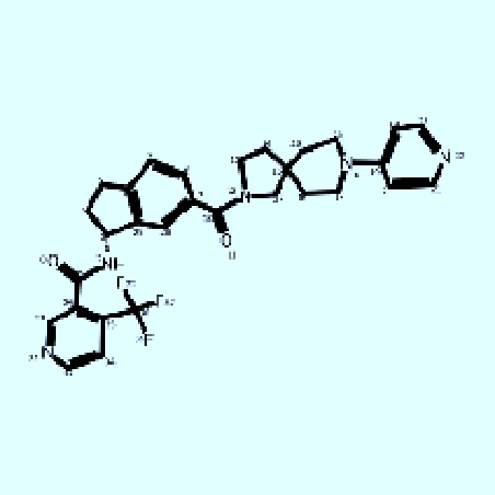 O=C(N[C@@H]1CCc2ccc(C(=O)N3CCC4(CCN(c5ccncc5)CC4)C3)cc21)c1cnccc1C(F)(F)F